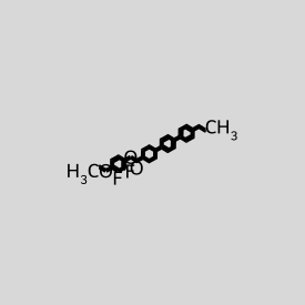 CCCc1ccc(-c2ccc(C3CCC(C(=O)Oc4ccc(OCC)c(F)c4F)CC3)cc2)cc1